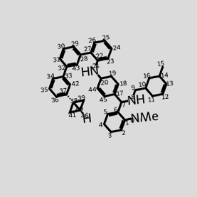 CNC1=CCCC=C1C(NCC1CC=CC(C)C1)C1=CCC(Nc2ccccc2-c2cccc(-c3cccc([C@]45C[C@@H]4C5)c3)c2)C=C1